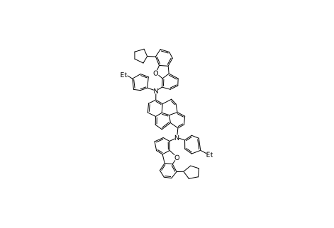 CCc1ccc(N(c2ccc3ccc4c(N(c5ccc(CC)cc5)c5cccc6c5oc5c(C7CCCC7)cccc56)ccc5ccc2c3c54)c2cccc3c2oc2c(C4CCCC4)cccc23)cc1